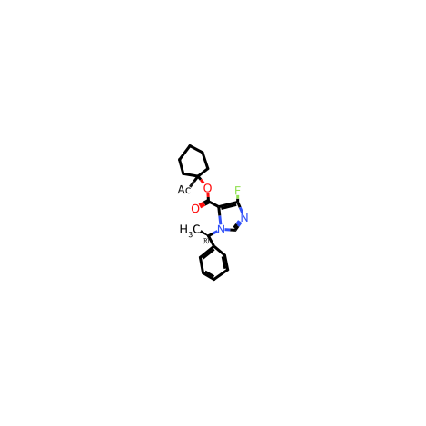 CC(=O)C1(OC(=O)c2c(F)ncn2[C@H](C)c2ccccc2)CCCCC1